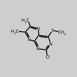 CSc1nc(Cl)nc2nc(C)c(C)nc12